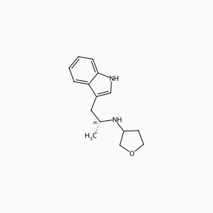 C[C@H](Cc1c[nH]c2ccccc12)NC1CCOC1